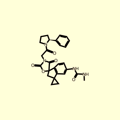 CNC(=O)Nc1ccc2c(c1)C1(CC1)CC21OC(=O)N(CC(=O)N2CCC[C@H]2c2ccccc2)C1=O